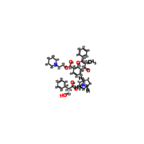 CN1[C@@H]2CC[C@H]1C[C@@H](OC(=O)[C@H](CO)c1ccccc1)C2.Cc1c(-c2ccccc2)oc2c(C(=O)OCCN3CCCCC3)cccc2c1=O